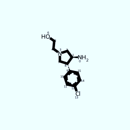 N[C@@H]1CN(CCO)C[C@H]1c1ccc(Cl)cc1